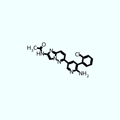 CC(=O)Nc1cn2nc(-c3cnc(N)c(-c4ccccc4Cl)c3)ccc2n1